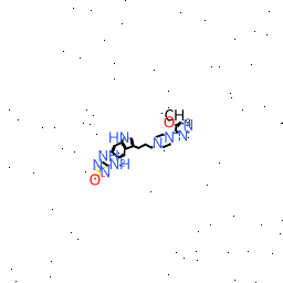 COc1cncnc1N1CCN(CCCc2c[nH]c3ccc(Nc4n[s+]([O-])nc4N)cc23)CC1